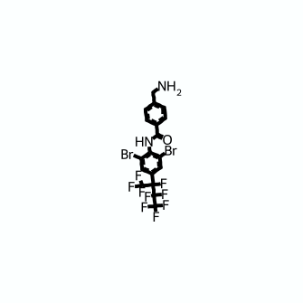 NCc1ccc(C(=O)Nc2c(Br)cc(C(F)(C(F)(F)F)C(F)(F)C(F)(F)F)cc2Br)cc1